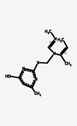 C/C=C(/C)N(/C=N/C)CSc1nc(C)cc(O)n1